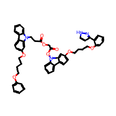 O=C(CCn1c2ccccc2c2ccc(OCCCCOc3ccccc3)cc21)OCC(=O)On1c2ccccc2c2ccc(OCCCCOc3ccccc3-c3cc[nH]n3)cc21